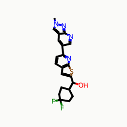 Cn1cc2cc(-c3ccc4cc(C(O)C5CCC(F)(F)CC5)sc4n3)cnc2n1